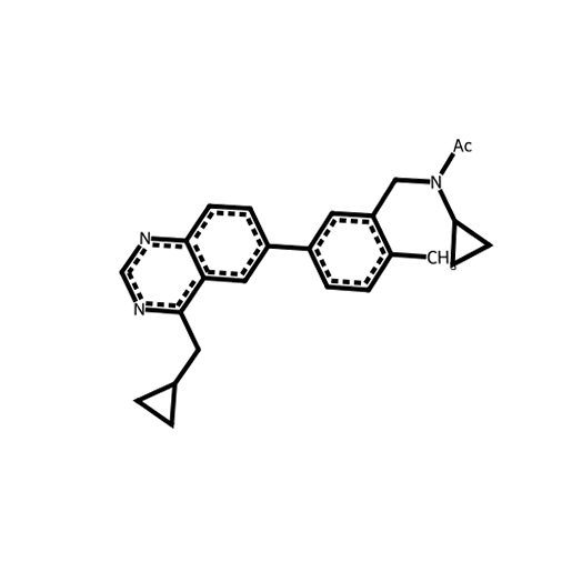 CC(=O)N(Cc1cc(-c2ccc3ncnc(CC4CC4)c3c2)ccc1C)C1CC1